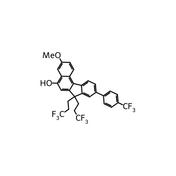 COc1ccc2c3c(cc(O)c2c1)C(CCC(F)(F)F)(CCC(F)(F)F)c1cc(-c2ccc(C(F)(F)F)cc2)ccc1-3